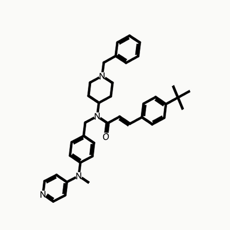 CN(c1ccncc1)c1ccc(CN(C(=O)C=Cc2ccc(C(C)(C)C)cc2)C2CCN(Cc3ccccc3)CC2)cc1